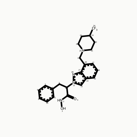 O=C(NO)C(Cc1ccccc1)n1cc2cccc(CN3CCC(C(F)(F)F)CC3)c2n1